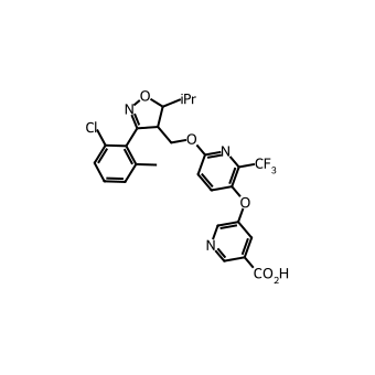 Cc1cccc(Cl)c1C1=NOC(C(C)C)C1COc1ccc(Oc2cncc(C(=O)O)c2)c(C(F)(F)F)n1